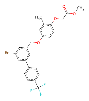 COC(=O)COc1ccc(OCc2cc(Br)cc(-c3ccc(C(F)(F)F)cc3)c2)cc1C